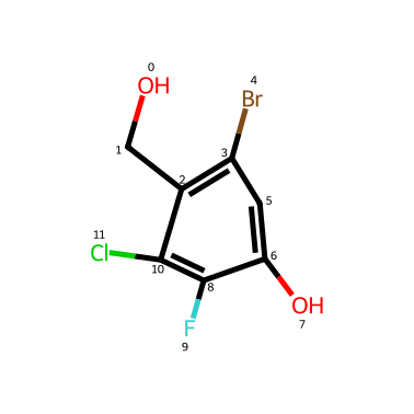 OCc1c(Br)cc(O)c(F)c1Cl